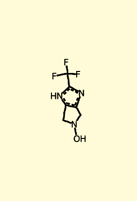 ON1Cc2nc(C(F)(F)F)[nH]c2C1